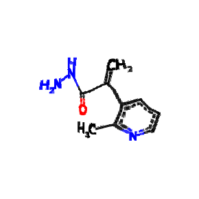 C=C(C(=O)NN)c1cccnc1C